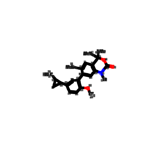 CCN1C(=O)OC(NC)(NC)c2cc(NC)c(-c3cc(C4CC4C(=O)O)ccc3OC(F)(F)F)cc21